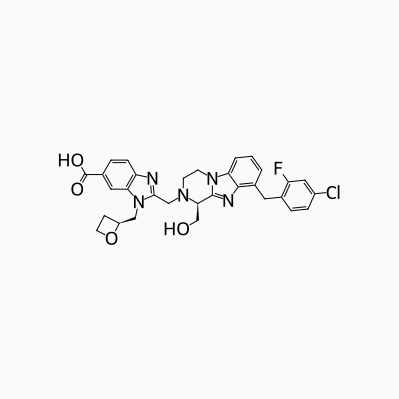 O=C(O)c1ccc2nc(CN3CCn4c(nc5c(Cc6ccc(Cl)cc6F)cccc54)[C@H]3CO)n(C[C@@H]3CCO3)c2c1